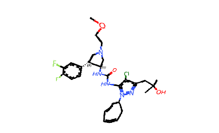 COCCN1C[C@@H](NC(=O)Nc2c(Cl)c(CC(C)(C)O)nn2C2C=CC=CC2)[C@H](c2ccc(F)c(F)c2)C1